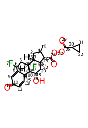 C[C@@H]1C[C@H]2[C@@H]3C[C@H](F)C4=CC(=O)C=C[C@]4(C)[C@@]3(F)[C@@H](O)C[C@]2(C)[C@H]1C(=O)OOC(=O)C1CC1